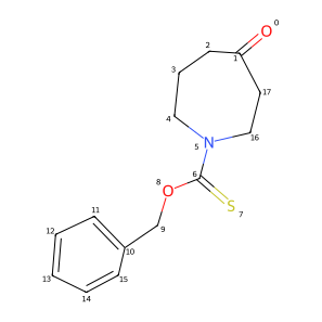 O=C1CCCN(C(=S)OCc2ccccc2)CC1